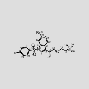 Cc1ccc(S(=O)(=O)n2cc(C(C)COCCS(C)(C)C)c3cnc(Br)cc32)cc1